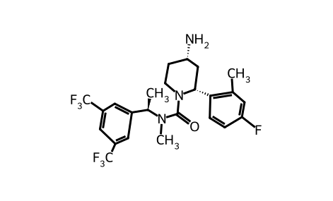 Cc1cc(F)ccc1[C@H]1C[C@@H](N)CCN1C(=O)N(C)[C@H](C)c1cc(C(F)(F)F)cc(C(F)(F)F)c1